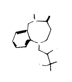 CN1Cc2ccccc2N(CC(O)C(F)(F)F)CCC1=O